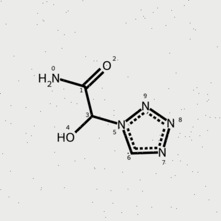 NC(=O)C(O)n1[c]nnn1